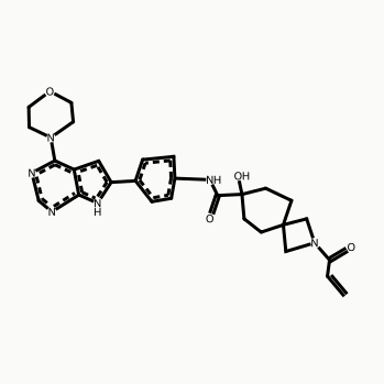 C=CC(=O)N1CC2(CCC(O)(C(=O)Nc3ccc(-c4cc5c(N6CCOCC6)ncnc5[nH]4)cc3)CC2)C1